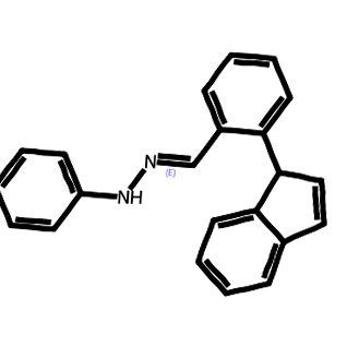 C1=CC(c2ccccc2/C=N/Nc2ccccc2)c2ccccc21